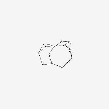 C1CC23CC4CC1CC(CC(C4)C2)C3